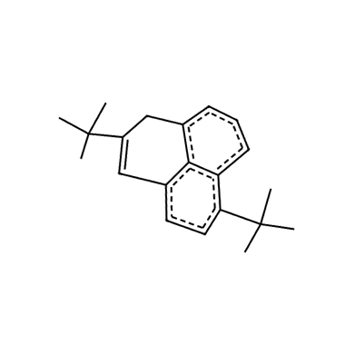 CC(C)(C)C1=Cc2ccc(C(C)(C)C)c3cccc(c23)C1